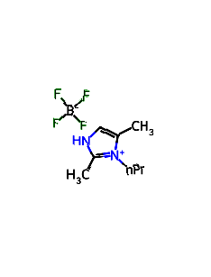 CCC[n+]1c(C)c[nH]c1C.F[B-](F)(F)F